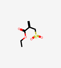 C=C(C[SH](=O)=O)C(=O)OCC